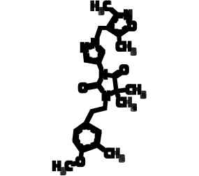 COc1ccc(CCN2C(=O)N(c3cnn(Cc4c(C)noc4C)c3)C(=O)C2(C)C)cc1C